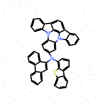 c1ccc2c(c1)cc(N(c1ccc3c(c1)n1c4ccccc4c4ccc5c6ccccc6n3c5c41)c1cccc3c1sc1ccccc13)c1ccccc12